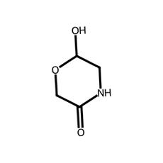 O=C1COC(O)CN1